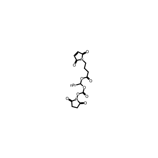 CCCC(OC(=O)CCCN1C(=O)C=CC1=O)OC(=O)ON1C(=O)CCC1=O